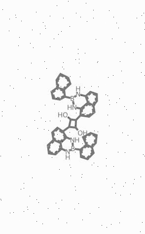 OC1C(c2ccc3cccc4c3c2NB(c2cccc3ccccc23)N4)C(O)C1c1ccc2cccc3c2c1NB(c1cccc2ccccc12)N3